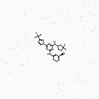 N#CC1=NCCC(Nc2nc(NC3CCC(F)(F)C3)nc(-n3ccc(C(F)(F)F)n3)n2)=C1